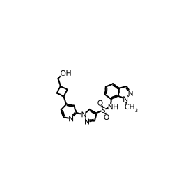 Cn1ncc2cccc(NS(=O)(=O)c3cnn(-c4cc(C5CC(CO)C5)ccn4)c3)c21